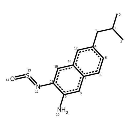 CC(C)Cc1ccc2cc(N)c(N=S=O)cc2c1